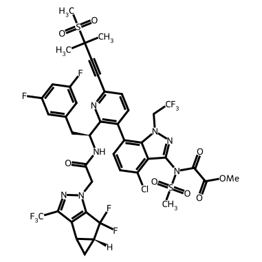 COC(=O)C(=O)N(c1nn(CC(F)(F)F)c2c(-c3ccc(C#CC(C)(C)S(C)(=O)=O)nc3[C@H](Cc3cc(F)cc(F)c3)NC(=O)Cn3nc(C(F)(F)F)c4c3C(F)(F)[C@@H]3CC43)ccc(Cl)c12)S(C)(=O)=O